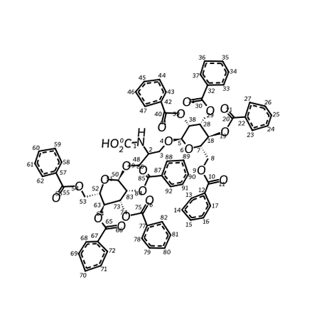 O=C(O)NC(CO[C@@H]1O[C@@H](COC(=O)c2ccccc2)[C@H](OC(=O)c2ccccc2)[C@@H](OC(=O)c2ccccc2)[C@H]1OC(=O)c1ccccc1)CO[C@@H]1O[C@@H](COC(=O)c2ccccc2)[C@H](OC(=O)c2ccccc2)[C@@H](OC(=O)c2ccccc2)[C@H]1OC(=O)c1ccccc1